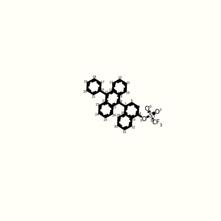 O=S(=O)(Oc1ccc(-c2c3ccccc3c(-c3ccccc3)c3ccccc23)c2ccccc12)C(F)(F)F